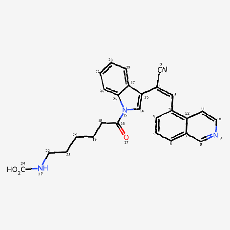 N#CC(=Cc1cccc2cnccc12)c1cn(C(=O)CCCCCNC(=O)O)c2ccccc12